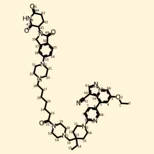 CCOc1cc(-c2ccc(N3CCC(CC)(CN4CCN(C(=O)CCCCCCN5CCN(c6ccc7c(c6)CN(C6CCC(=O)NC6=O)C7=O)CC5)CC4)CC3)nc2)c2c(C#N)cnn2c1